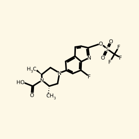 C[C@H]1CN(c2cc(F)c3nc(OS(=O)(=O)C(F)(F)F)ccc3c2)C[C@H](C)N1C(=O)O